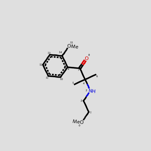 COCCNC(C)(C)C(=O)c1ccccc1OC